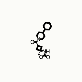 O=C1N[C@]2(CO1)C[C@H](C(=O)N1CCC(C3CCCCC3)CC1)C2